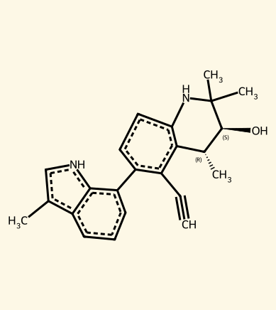 C#Cc1c(-c2cccc3c(C)c[nH]c23)ccc2c1[C@@H](C)[C@H](O)C(C)(C)N2